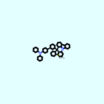 CSc1ccccc1C1(c2cccc(-c3ccc(N(c4ccccc4)c4ccccc4)cc3)c2)c2ccccc2-n2c3ccccc3c3cccc1c32